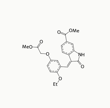 CCOc1ccc(OCC(=O)OC)cc1/C=C1/C(=O)Nc2cc(C(=O)OC)ccc21